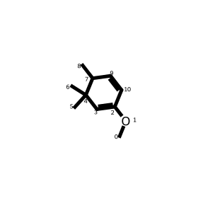 COC1=CC(C)(C)C(C)C=C1